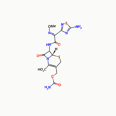 CON=C(C(=O)NC1C(=O)N2C(C(=O)O)=C(COC(N)=O)CS[C@@H]12)c1nsc(N)n1